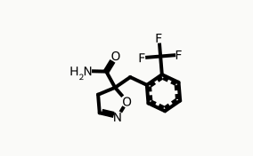 NC(=O)C1(Cc2ccccc2C(F)(F)F)CC=NO1